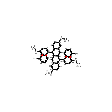 Fc1ccc(-c2c3cc(OC(F)(F)F)ccc3c(-c3ccc(OC(F)(F)F)cc3)c3c(-c4ccc(F)cc4)c4cc(OC(F)(F)F)ccc4c(-c4ccc(OC(F)(F)F)cc4)c23)cc1